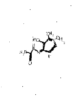 CC1=[N+](C)C=CC(=NNC(N)=O)C1O.[I-]